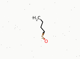 [CH2]CCC=S=O